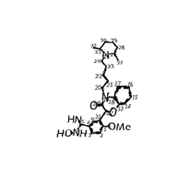 COc1ccc(C(=N)NO)cc1C1Oc2ccccc2N(CCCCCN2C(C)CCCC2C)C1=O